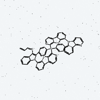 C=C/C=N\c1c(C)n(-c2cccc3c2oc2c([Si](c4ccccc4)(c4ccccc4)c4nccc5c4sc4c(-n6c7ccccc7c7ncccc76)cccc45)nccc23)c2ccccc12